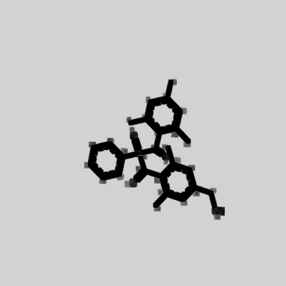 Cc1cc(C)c(C(=O)P(=O)(C(=O)c2c(C)cc(CO)cc2C)c2ccccc2)c(C)c1